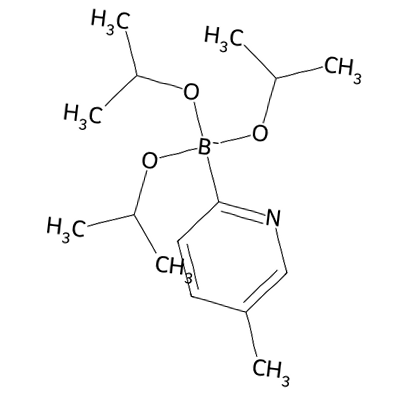 Cc1ccc([B-](OC(C)C)(OC(C)C)OC(C)C)nc1